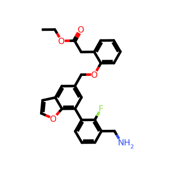 CCOC(=O)Cc1ccccc1OCc1cc(-c2cccc(CN)c2F)c2occc2c1